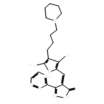 Cc1[nH]c(/C=C2/C(=O)NN=C2c2nccnn2)c(C(C)C)c1CCCCN1CCCCC1